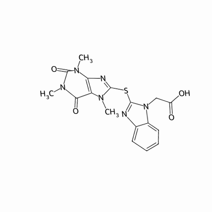 Cn1c(=O)c2c(nc(Sc3nc4ccccc4n3CC(=O)O)n2C)n(C)c1=O